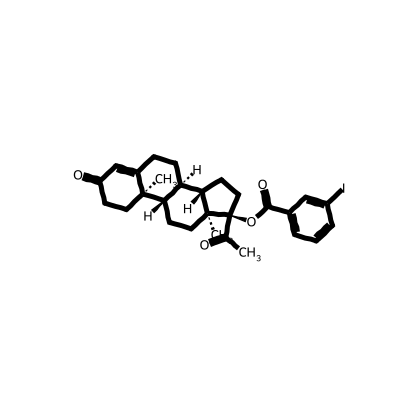 CC(=O)[C@@]1(OC(=O)c2cccc(I)c2)CC[C@H]2[C@@H]3CCC4=CC(=O)CC[C@]4(C)[C@H]3CC[C@@]21C